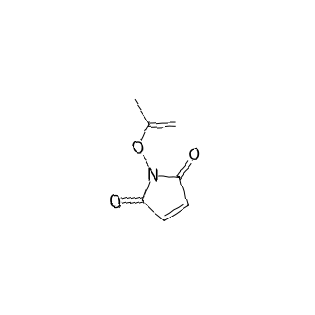 C=C(C)ON1C(=O)C=CC1=O